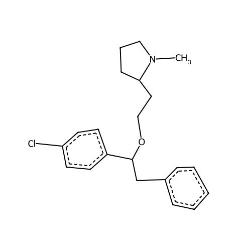 CN1CCCC1CCOC(Cc1ccccc1)c1ccc(Cl)cc1